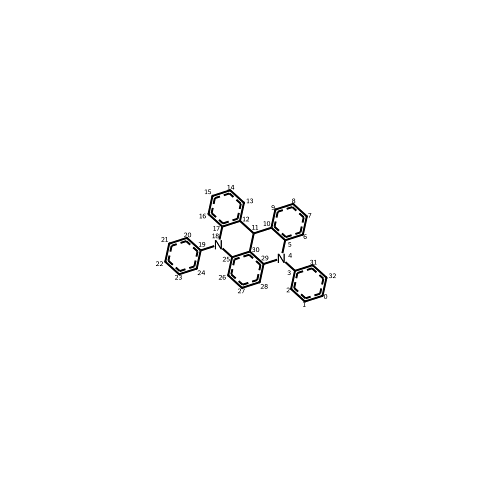 c1ccc(N2c3ccccc3C3c4ccccc4N(c4ccccc4)c4cccc2c43)cc1